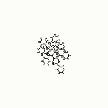 c1ccc(-c2nc(-c3ccccc3)nc(-c3c(-c4ccc5c(c4)C4(c6ccccc6-5)c5ccccc5-c5c4c4ccccc4c4ccccc54)c4ccccc4c4ccccc34)n2)cc1